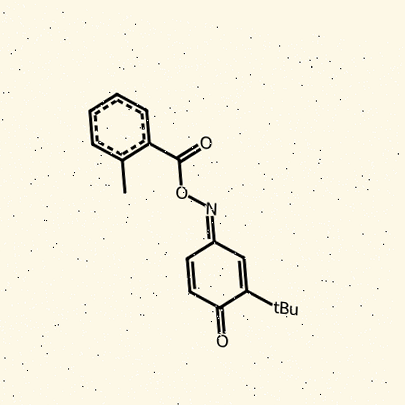 Cc1ccccc1C(=O)ON=C1C=CC(=O)C(C(C)(C)C)=C1